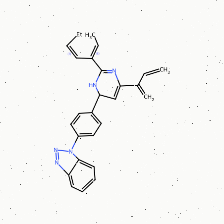 C=CC(=C)C1=CC(c2ccc(-n3nnc4ccccc43)cc2)NC(C(/C=C\CC)=C/C)=N1